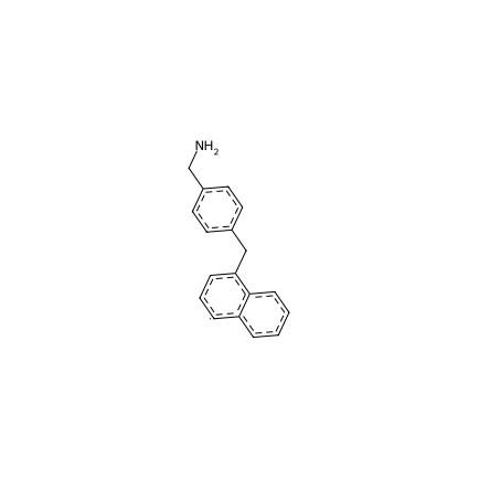 NCc1ccc(Cc2cc[c]c3ccccc23)cc1